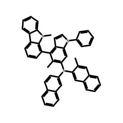 Cc1cc2ccccc2cc1N(c1ccc2ccccc2c1)c1cc2c(ccn2-c2ccccc2)c(-c2cccc3c4ccccc4n(C)c23)c1C